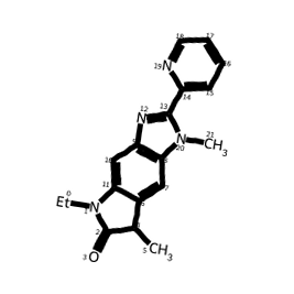 CCN1C(=O)C(C)c2cc3c(cc21)nc(-c1ccccn1)n3C